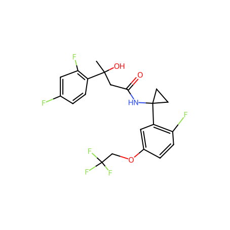 CC(O)(CC(=O)NC1(c2cc(OCC(F)(F)F)ccc2F)CC1)c1ccc(F)cc1F